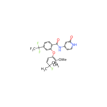 CO/C(C)=C(/C=C\C(C)(C)F)Oc1cc(C(F)(F)C(F)(F)F)ccc1C(=O)Nc1cc[nH]c(=O)c1